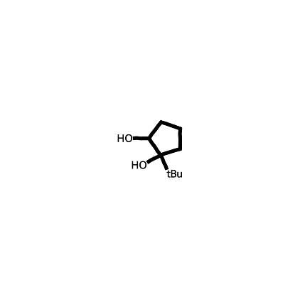 CC(C)(C)C1(O)CCCC1O